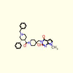 Cn1ccc2c(=O)n(CC3(O)CCN(C(=O)[C@@H]4CCN(Cc5ccccc5)C[C@H]4c4ccccc4)CC3)cnc21